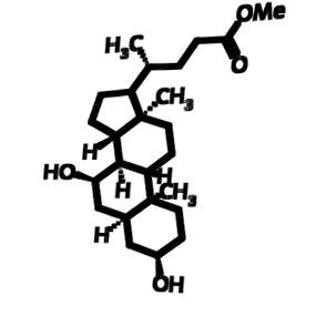 COC(=O)CC[C@@H](C)C1CC[C@H]2[C@@H]3[C@H](O)C[C@@H]4C[C@H](O)CC[C@]4(C)[C@H]3CC[C@]12C